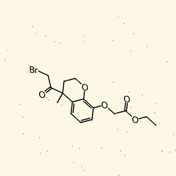 CCOC(=O)COc1cccc2c1OCCC2(C)C(=O)CBr